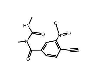 C#Cc1ccc(C(=O)N(C)C(=O)NC)cc1[N+](=O)[O-]